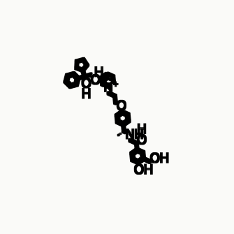 C[C@@H](NC[C@H](O)c1ccc(O)c(CO)c1)c1ccc(OCCC[N+]23CCC(CC2)[C@@H](OCC(O)(c2ccccc2)C2CCCC2)C3)cc1